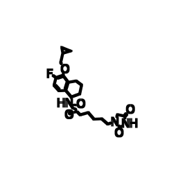 O=C1CN(CCCCCS(=O)(=O)N[C@H]2CCCc3c2ccc(F)c3OCC2CC2)C(=O)N1